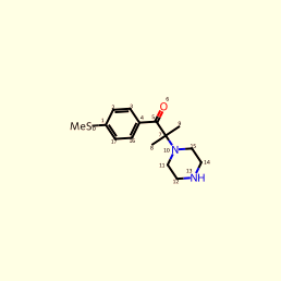 CSc1ccc(C(=O)C(C)(C)N2CCNCC2)cc1